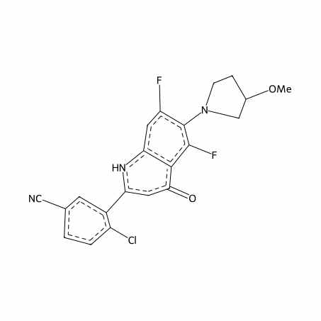 COC1CCN(c2c(F)cc3[nH]c(-c4cc(C#N)ccc4Cl)cc(=O)c3c2F)C1